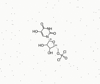 O=c1[nH]c(=O)n([C@@H]2O[C@H](COP(=O)(Cl)Cl)C(O)C2O)cc1O